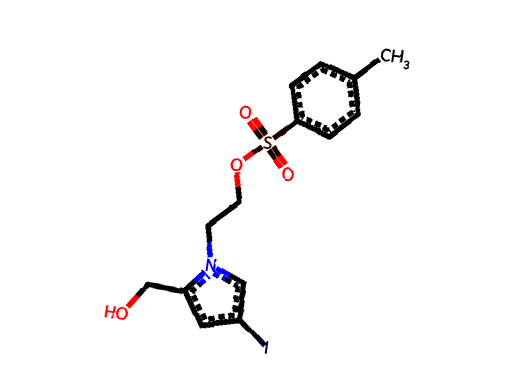 Cc1ccc(S(=O)(=O)OCCn2cc(I)cc2CO)cc1